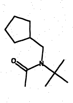 CC(=O)N(CC1CCCC1)C(C)(C)C